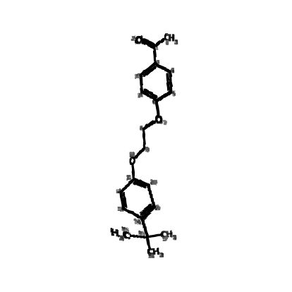 CC(=O)c1ccc(OCCOc2ccc(C(C)(C)C)cc2)cc1